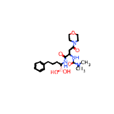 CN(C)C(=O)NC(CC(=O)N1CCOCC1)C(=O)NC(CCCc1ccccc1)B(O)O